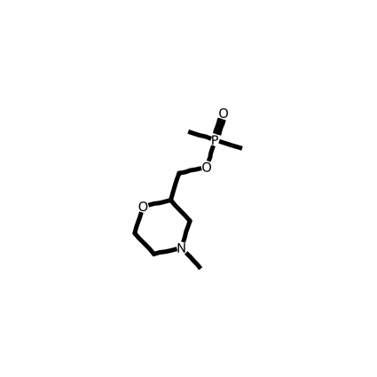 CN1CCOC(COP(C)(C)=O)C1